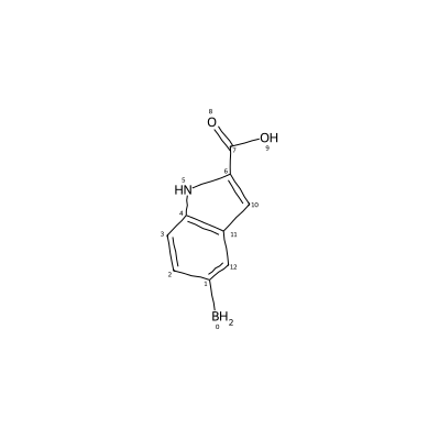 Bc1ccc2[nH]c(C(=O)O)cc2c1